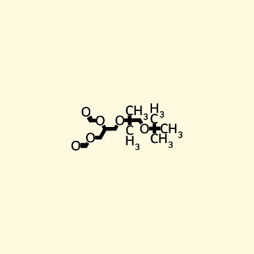 CC(C)(C)OCC(C)(C)OCC(COC=O)OC=O